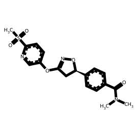 CN(C)C(=O)c1ccc([C@H]2CC(Oc3ccc(S(C)(=O)=O)nc3)=NO2)cc1